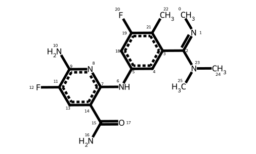 C/N=C(\c1cc(Nc2nc(N)c(F)cc2C(N)=O)cc(F)c1C)N(C)C